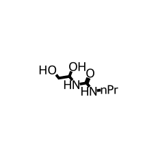 [CH2]CCNC(=O)NC(O)CO